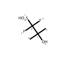 CC(C)(O)C(F)(F)S(=O)(=O)O